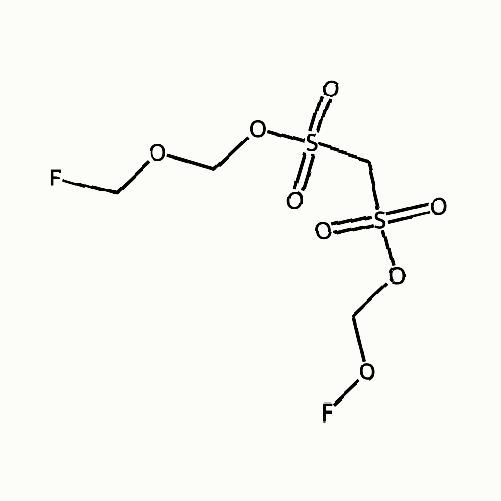 O=S(=O)(CS(=O)(=O)OCOCF)OCOF